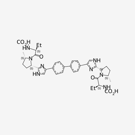 CC[C@H](NC(=O)O)C(=O)N1[C@@H](C)CC[C@H]1c1nc(-c2ccc(-c3ccc(-c4c[nH]c([C@@H]5CC[C@H](C)N5C(=O)[C@H](CC)NC(=O)O)n4)cc3)cc2)c[nH]1